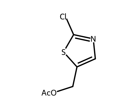 CC(=O)OCc1cnc(Cl)s1